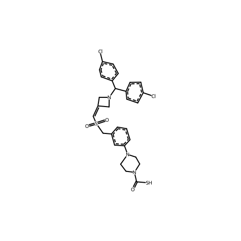 O=C(S)N1CCN(c2cccc(CS(=O)(=O)C=C3CN(C(c4ccc(Cl)cc4)c4ccc(Cl)cc4)C3)c2)CC1